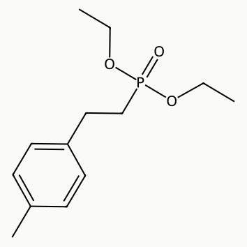 CCOP(=O)(CCc1ccc(C)cc1)OCC